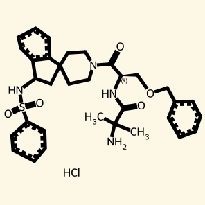 CC(C)(N)C(=O)N[C@H](COCc1ccccc1)C(=O)N1CCC2(CC1)CC(NS(=O)(=O)c1ccccc1)c1ccccc12.Cl